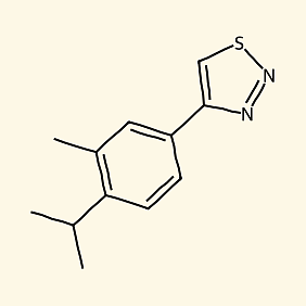 Cc1cc(-c2csnn2)ccc1C(C)C